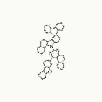 c1ccc2c(c1)ccc1nc(-n3c4ccc5c6ccccc6c6ccccc6c5c4c4ccc5ccccc5c43)nc(-c3ccc4c(c3)oc3ccccc34)c12